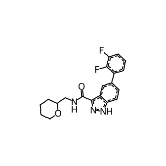 O=C(NCC1CCCCO1)c1n[nH]c2ccc(-c3cccc(F)c3F)cc12